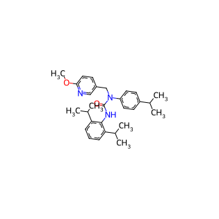 COc1ccc(CN(C(=O)Nc2c(C(C)C)cccc2C(C)C)c2ccc(C(C)C)cc2)cn1